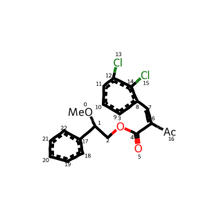 COC(COC(=O)C(=Cc1cccc(Cl)c1Cl)C(C)=O)c1ccccc1